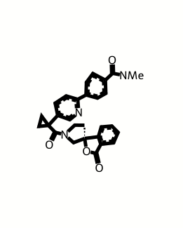 CNC(=O)c1ccc(-c2ccc(C3(C(=O)N4CC[C@@]5(C4)OC(=O)c4ccccc45)CC3)cn2)cc1